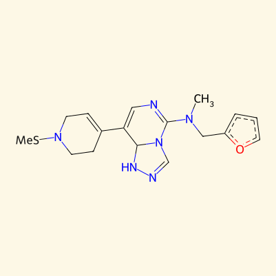 CSN1CC=C(C2=CN=C(N(C)Cc3ccco3)N3C=NNC23)CC1